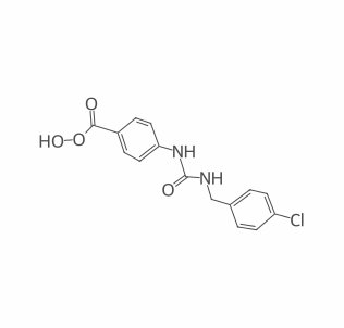 O=C(NCc1ccc(Cl)cc1)Nc1ccc(C(=O)OO)cc1